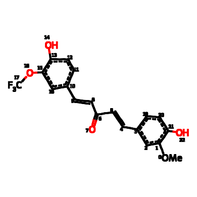 COc1cc(/C=C/C(=O)/C=C/c2ccc(O)c(OC(F)(F)F)c2)ccc1O